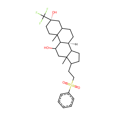 CC12CC(O)C3[C@@H](CCC4C[C@](O)(C(F)(F)F)CCC43C)C1CCC2CCS(=O)(=O)c1ccccc1